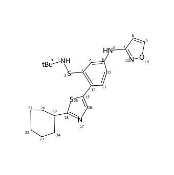 CC(C)(C)NSc1cc(Nc2ccon2)ccc1-c1cnc(C2CCCCC2)s1